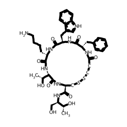 C[C@@H](O)[C@@H]1NC(=O)[C@H](CCCCN)NC(=O)[C@@H](Cc2c[nH]c3ccccc23)NC(=O)[C@H](Cc2ccccc2)NC(=O)CCSSC[C@@H](C(=O)N[C@H](CO)[C@@H](C)O)NC1=O